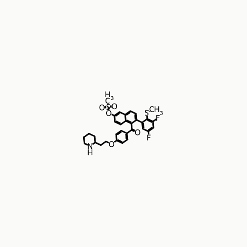 CSc1c(F)cc(F)cc1-c1ccc2cc(OS(C)(=O)=O)ccc2c1C(=O)c1ccc(OCCC2CCCCN2)cc1